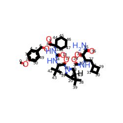 COc1ccc(COC(=O)C2(NC(=O)N[C@H](C(=O)N3CC4[C@@H]([C@H]3C(=O)NC(CC3CCC3)C(=O)C(N)=O)C4(C)C)C(C)(C)C)CCCCC2)cc1